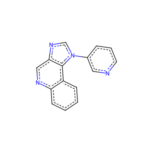 c1cncc(-n2cnc3cnc4ccccc4c32)c1